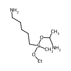 CCO[Si](C)(CCCCCN)OC(C)N